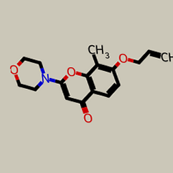 C=CCOc1ccc2c(=O)cc(N3CCOCC3)oc2c1C